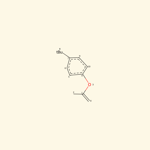 C=C(C)Oc1ccc(C(C)(C)C)cc1